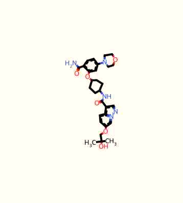 CC(C)(O)COc1ccc2c(C(=O)NC3CCC(Oc4cc(N5CCOCC5)ccc4C(N)=O)CC3)cnn2c1